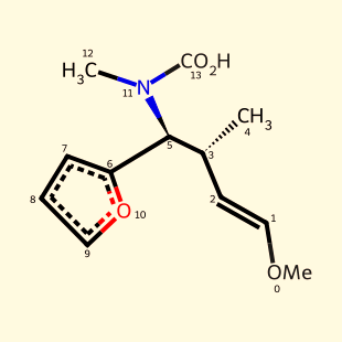 COC=C[C@@H](C)[C@@H](c1ccco1)N(C)C(=O)O